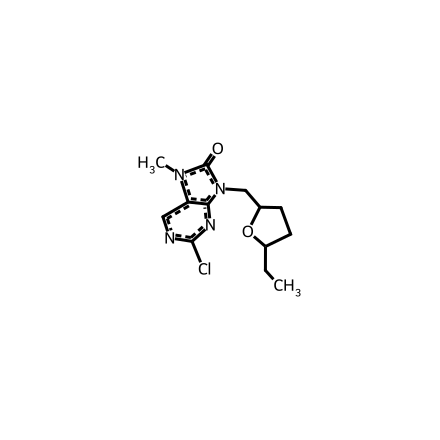 CCC1CCC(Cn2c(=O)n(C)c3cnc(Cl)nc32)O1